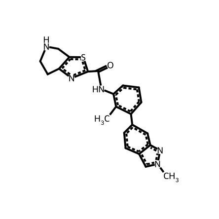 Cc1c(NC(=O)c2nc3c(s2)CNCC3)cccc1-c1ccc2cn(C)nc2c1